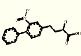 O=C(O)C(Cl)CCc1ccc(-c2ccccc2)c([N+](=O)[O-])c1